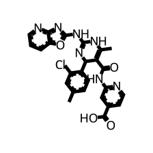 CC1=C(C(=O)Nc2cc(C(=O)O)ccn2)C(c2ccc(C)cc2Cl)N=C(Nc2nc3ncccc3o2)N1